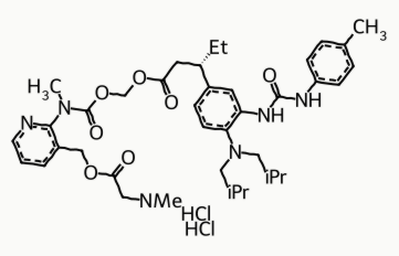 CC[C@@H](CC(=O)OCOC(=O)N(C)c1ncccc1COC(=O)CNC)c1ccc(N(CC(C)C)CC(C)C)c(NC(=O)Nc2ccc(C)cc2)c1.Cl.Cl